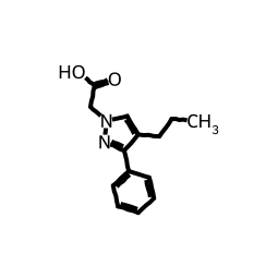 CCCc1cn(CC(=O)O)nc1-c1ccccc1